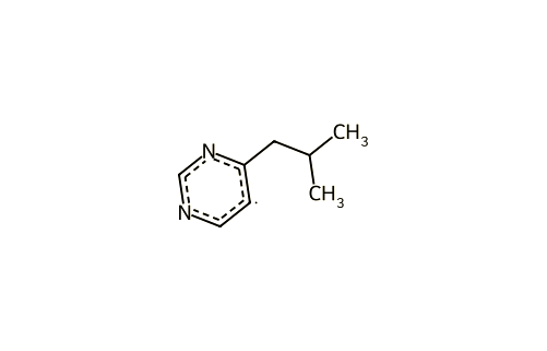 CC(C)Cc1[c]cncn1